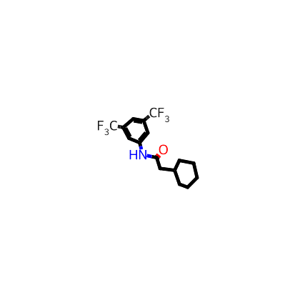 O=C(CC1CCCCC1)Nc1cc(C(F)(F)F)cc(C(F)(F)F)c1